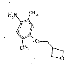 Cc1cc(N)c(C)nc1OCC1COC1